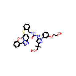 CC(C)(CO)c1cc(NC(=O)NCc2ccccc2Sc2ccc3nnc(-c4ccccc4O)n3c2)n(-c2cccc(OCCO)c2)n1